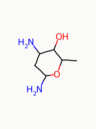 CC1OC(N)CC(N)C1O